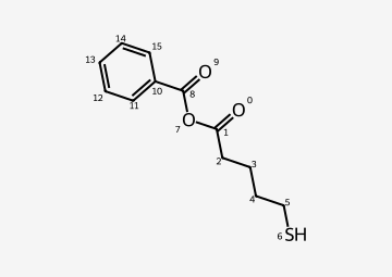 O=C(CCCCS)OC(=O)c1ccccc1